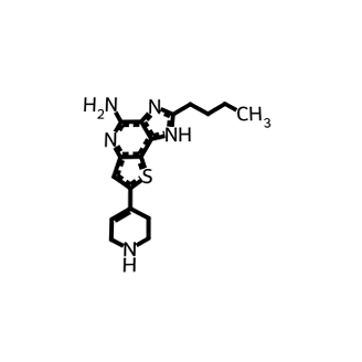 CCCCc1nc2c(N)nc3cc(C4=CCNCC4)sc3c2[nH]1